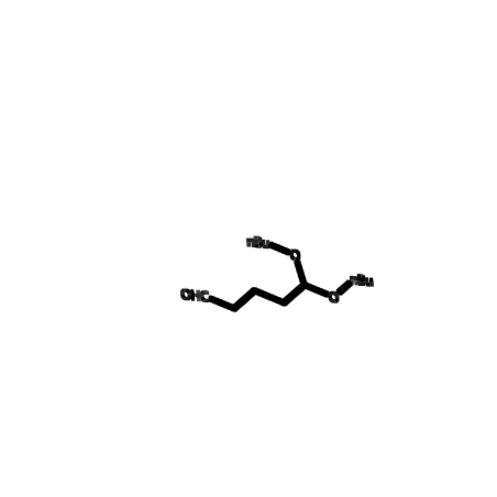 CCCCOC(CCCC=O)OCCCC